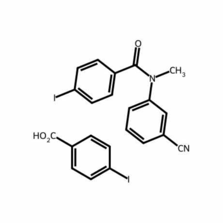 CN(C(=O)c1ccc(I)cc1)c1cccc(C#N)c1.O=C(O)c1ccc(I)cc1